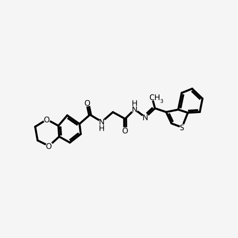 C/C(=N\NC(=O)CNC(=O)c1ccc2c(c1)OCCO2)c1csc2ccccc12